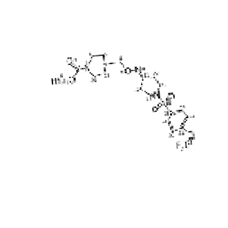 CC(C)(C)OC(=O)N1CCC(CON=C2CCN(S(=O)(=O)c3ccc(OC(F)(F)F)cc3)CC2)CC1